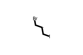 BrC[CH]CI